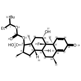 CCC(OC(=O)O[C@]1(C(=O)O)[C@H](C)C[C@H]2[C@@H]3C[C@H](C)C4=CC(=O)C=C[C@]4(C)[C@@]3(F)[C@@H](O)C[C@@]21C)C(C)(C)C